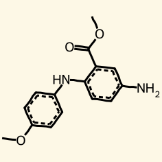 COC(=O)c1cc(N)ccc1Nc1ccc(OC)cc1